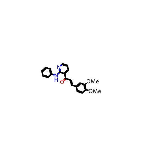 COc1ccc(C=CC(=O)c2cccnc2Nc2ccccc2)cc1OC